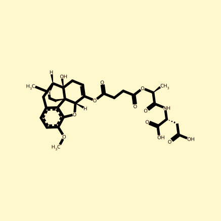 COc1ccc2c3c1O[C@H]1C(OC(=O)CCC(=O)O[C@@H](C)C(=O)N[C@H](CC(=O)O)C(=O)O)=CC[C@@]4(O)[C@@H](C2)N(C)CC[C@]314